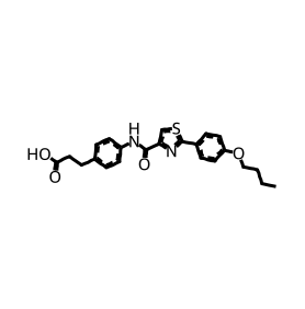 CCCCOc1ccc(-c2nc(C(=O)Nc3ccc(CCC(=O)O)cc3)cs2)cc1